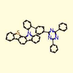 c1ccc(-c2nc(-c3ccccc3)nc(-c3ccc(-c4ccccc4-n4c5ccccc5c5ccc6c7ccccc7sc6c54)cc3)n2)cc1